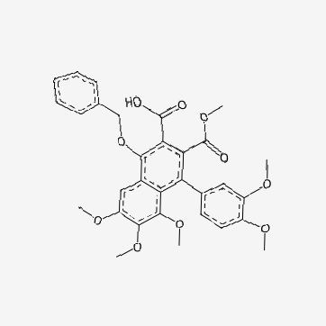 COC(=O)c1c(C(=O)O)c(OCc2ccccc2)c2cc(OC)c(OC)c(OC)c2c1-c1ccc(OC)c(OC)c1